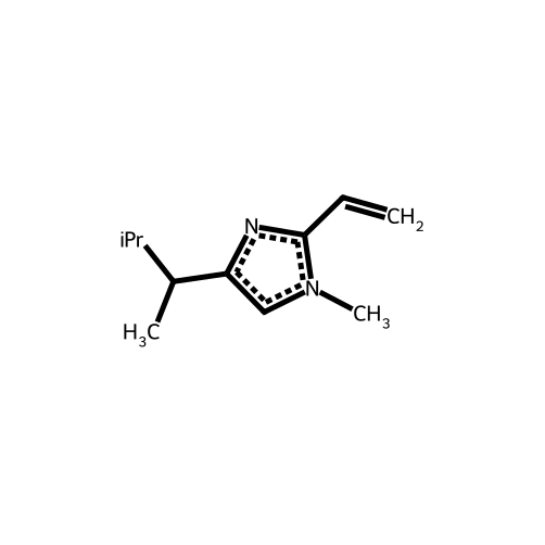 C=Cc1nc(C(C)C(C)C)cn1C